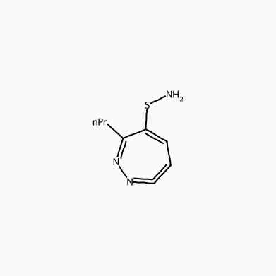 CCCC1=NN=C=CC=C1SN